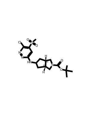 CC(C)(C)OC(=O)N1C[C@H]2CC(Nc3cc(S(C)(=O)=O)c(Cl)nn3)C[C@H]2C1